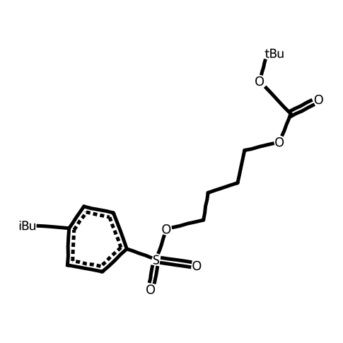 CCC(C)c1ccc(S(=O)(=O)OCCCCOC(=O)OC(C)(C)C)cc1